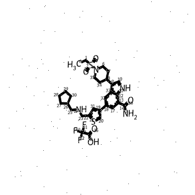 CCS(=O)(=O)N1CCC(c2c[nH]c3c(C(N)=O)cc(-c4csc(CNCC5CCCC5)c4)cc23)CC1.O=C(O)C(F)(F)F